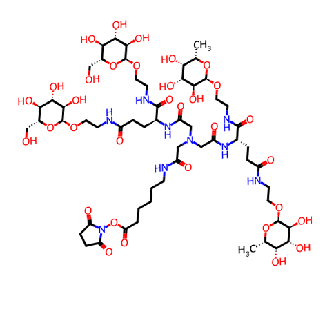 C[C@@H]1O[C@@H](OCCNC(=O)CC[C@H](NC(=O)CN(CC(=O)NCCCCCC(=O)ON2C(=O)CCC2=O)CC(=O)N[C@@H](CCC(=O)NCCO[C@H]2O[C@H](CO)[C@@H](O)[C@H](O)[C@H]2O)C(=O)NCCO[C@H]2O[C@H](CO)[C@@H](O)[C@H](O)[C@H]2O)C(=O)NCCO[C@@H]2O[C@@H](C)[C@@H](O)[C@@H](O)[C@@H]2O)[C@@H](O)[C@H](O)[C@@H]1O